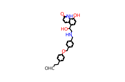 O=CCCc1ccc(OCc2ccc(CNCC(O)c3ccc(O)c4[nH]c(=O)ccc34)cc2)cc1